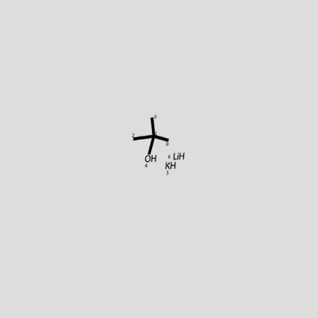 CC(C)(C)O.[KH].[LiH]